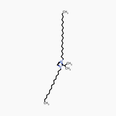 CCCCCCCCCCCCCCCCCCCn1cc[n+](CCCCCCCCCCCCCCC)c1C(C)C